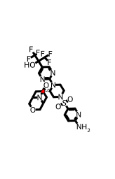 Nc1ccc(S(=O)(=O)N2CCN(c3ncc(C(O)(C(F)(F)F)C(F)(F)F)cn3)[C@@H](CN3C4COCC3CC(=O)C4)C2)cn1